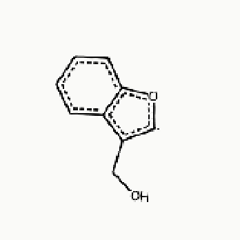 OCc1[c]oc2ccccc12